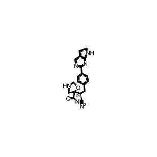 N#C[C@H](Cc1ccc(-c2ncc3cc[nH]c3n2)cc1)C1(C(N)=O)CNCO1